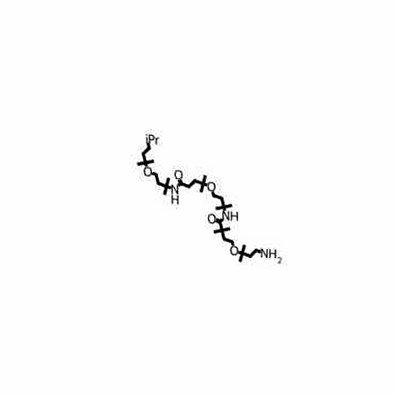 CC(C)CCC(C)(C)OCCC(C)(C)NC(=O)CCC(C)(C)OCCC(C)(C)NC(=O)C(C)(C)CCOC(C)(C)CCN